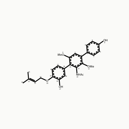 COc1cc(-c2ccc(O)cc2)c(OC)c(NC(C)=O)c1-c1ccc(OCC=C(C)C)c(O)c1